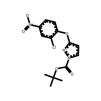 CC(C)(C)OC(=O)n1ccc(Oc2ccc([N+](=O)[O-])cc2Cl)n1